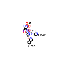 COc1ccc2c(O[C@@H]3C[C@@H](C(=O)N[C@]4(C(=O)NS(=O)(=O)C5CC5)C[C@H]4I)N(C(=O)C(Nc4ccc(OC)nc4)C(C)(C)C)C3)nccc2c1